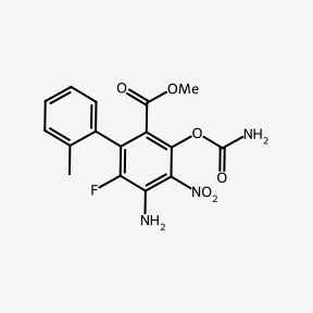 COC(=O)c1c(OC(N)=O)c([N+](=O)[O-])c(N)c(F)c1-c1ccccc1C